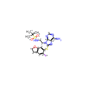 CC(C)(C)S(=O)(=O)NCCn1c(Sc2cc3c(cc2I)CCO3)nc2c(N)ncnc21